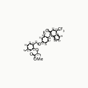 COC(=O)C(C)Oc1cc(C)ccc1COc1ccc(-n2c(=O)cc(C(F)(F)F)n3ccnc23)c(F)c1